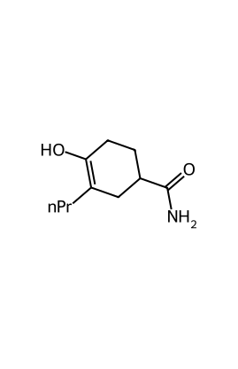 CCCC1=C(O)CCC(C(N)=O)C1